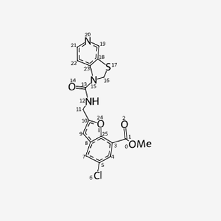 COC(=O)c1cc(Cl)cc2cc(CNC(=O)N3CSc4cnccc43)oc12